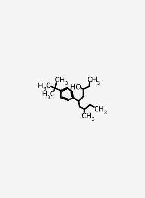 CCC(C)CC(CC(O)CC)c1ccc(C(C)(C)C)cc1